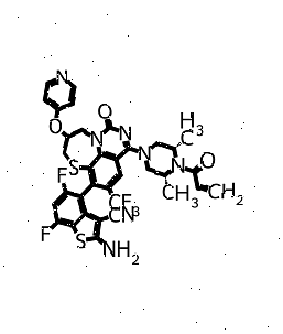 C=CC(=O)N1[C@H](C)CN(c2nc(=O)n3c4c(c(-c5c(F)cc(F)c6sc(N)c(C#N)c56)c(C(F)(F)F)cc24)SCC(Oc2ccncc2)C3)C[C@@H]1C